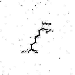 CCCCCCC[C@@H](C/C=C/CCC(=O)OC)OC